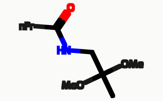 CCCC(=O)NCC(C)(OC)OC